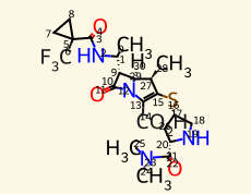 CC(NC(=O)C1(C(F)(F)F)CC1)[C@H]1C(=O)N2C(C(=O)O)=C(S[C@@H]3CN[C@H](C(=O)N(C)C)C3)[C@H](C)[C@H]12